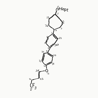 CCCCCCCC1CCC(c2ccc(-c3ccc(OCCCC(F)(F)F)cc3)cc2)CC1